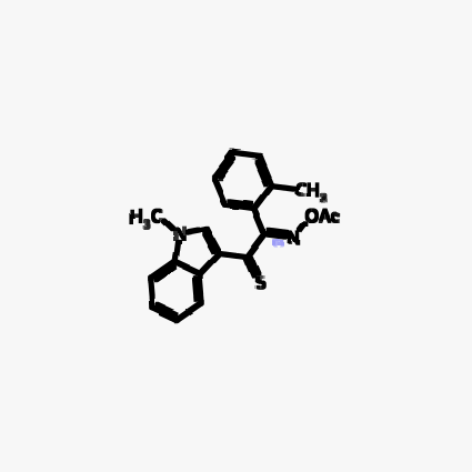 CC(=O)O/N=C(/C(=S)c1cn(C)c2ccccc12)c1ccccc1C